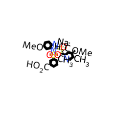 COc1ccc2nc([S+]([O-])Cc3ncc(C)c(OC)c3C)n(S(=O)(=O)c3cc(C(=O)O)ccc3C)c2c1.[Na]